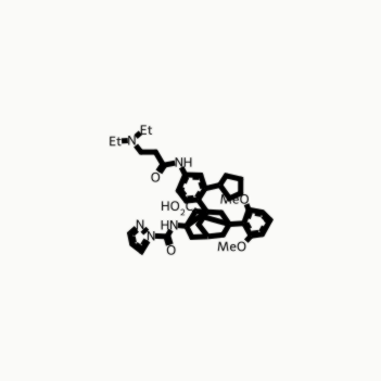 CCN(CC)CCC(=O)Nc1ccc(C23CC4CC(c5c(OC)cccc5OC)(CC(NC(=O)n5cccn5)(C4)C2C(=O)O)C3)c(C2CCCC2)c1